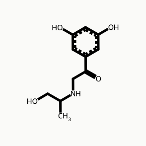 CC(CO)NCC(=O)c1cc(O)cc(O)c1